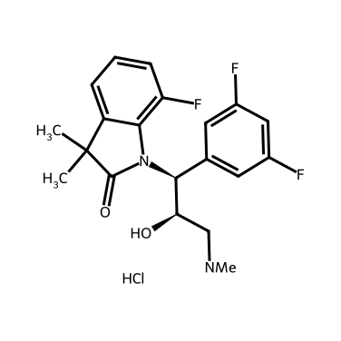 CNC[C@@H](O)[C@H](c1cc(F)cc(F)c1)N1C(=O)C(C)(C)c2cccc(F)c21.Cl